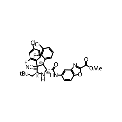 COC(=O)c1nc2cc(NC(=O)[C@@H]3N[C@@H](CC(C)(C)C)[C@](C#N)(c4ccc(Cl)cc4F)[C@H]3c3cccc(Cl)c3F)ccc2o1